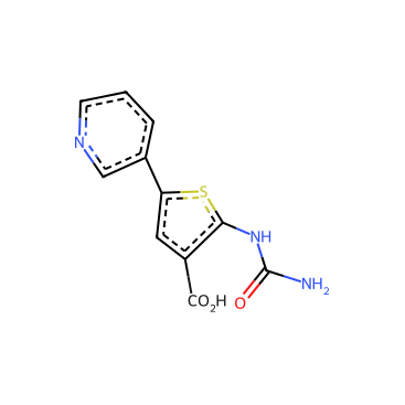 NC(=O)Nc1sc(-c2cccnc2)cc1C(=O)O